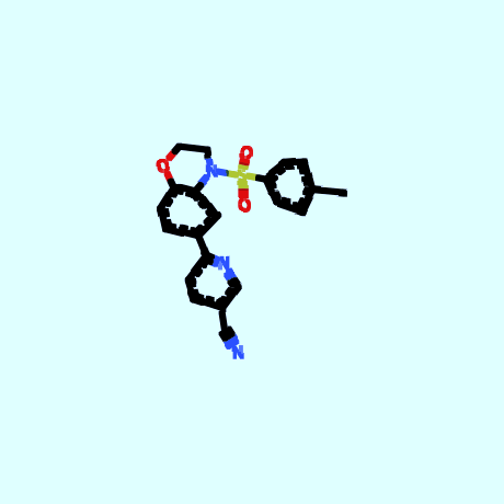 Cc1ccc(S(=O)(=O)N2CCOc3ccc(-c4ccc(C#N)cn4)cc32)cc1